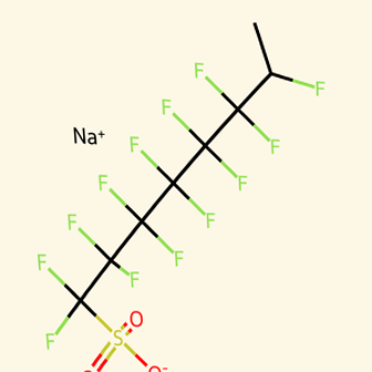 CC(F)C(F)(F)C(F)(F)C(F)(F)C(F)(F)C(F)(F)C(F)(F)S(=O)(=O)[O-].[Na+]